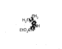 C=CCN(CC=C)c1ccc2[nH]c3cnc(C(=O)OCC)cc3c2c1